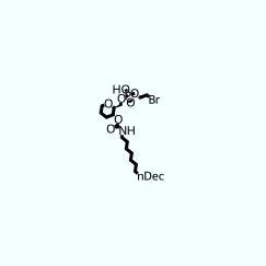 CCCCCCCCCCCCCCCCCNC(=O)O[C@@H]1CCCO[C@H]1COP(=O)(O)OCCBr